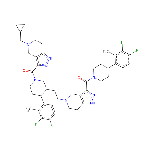 O=C(c1n[nH]c2c1CN(CCC1CN(C(=O)c3n[nH]c4c3CN(CC3CC3)CC4)CCC1c1ccc(F)c(F)c1C(F)(F)F)CC2)N1CCC(c2ccc(F)c(F)c2C(F)(F)F)CC1